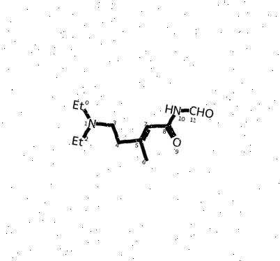 CCN(CC)CCC(C)=CC(=O)NC=O